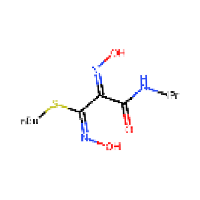 CCCCSC(=NO)C(=NO)C(=O)NC(C)C